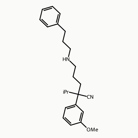 COc1cccc(C(C#N)(CCCNCCCc2ccccc2)C(C)C)c1